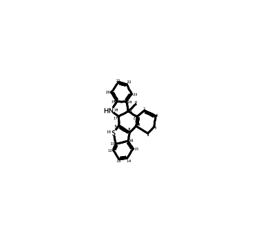 CC12C3=C(CCC=C3)c3c(sc4ccccc34)C1Nc1ccccc12